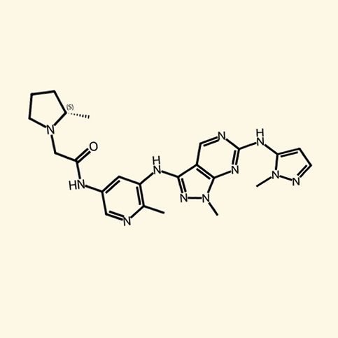 Cc1ncc(NC(=O)CN2CCC[C@@H]2C)cc1Nc1nn(C)c2nc(Nc3ccnn3C)ncc12